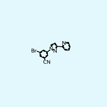 N#Cc1cc(Br)cc(-n2ccc(-c3ccccn3)n2)c1